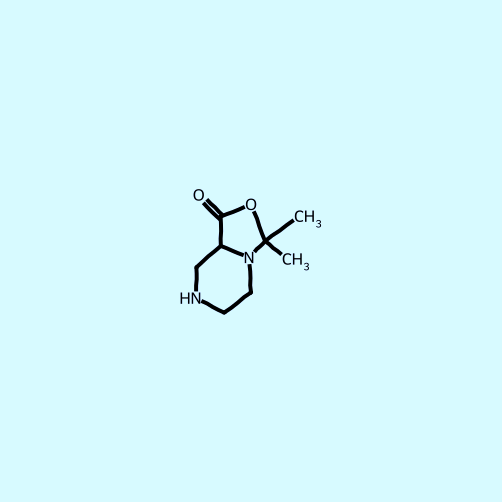 CC1(C)OC(=O)C2CNCCN21